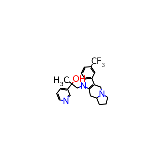 CC(O)(Cn1c2c(c3cc(C(F)(F)F)ccc31)CN1CCCC1C2)c1cccnc1